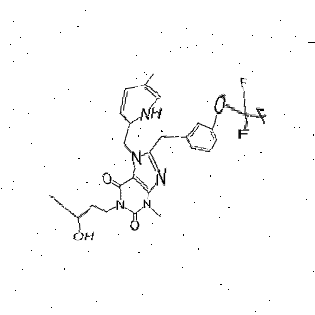 CC1=CNC(Cn2c(Cc3cccc(OC(F)(F)F)c3)nc3c2c(=O)n(CCC(C)O)c(=O)n3C)C=C1